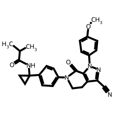 COc1ccc(-n2nc(C#N)c3c2C(=O)N(c2ccc(C4(NC(=O)C(C)C)CC4)cc2)CC3)cc1